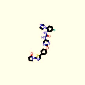 O=C(Nc1cnc(Oc2ccc(-c3cnc(N4CCCC4=O)s3)cc2)nc1)Nc1cc(F)ccc1-n1ccnc1